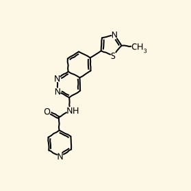 Cc1ncc(-c2ccc3nnc(NC(=O)c4ccncc4)cc3c2)s1